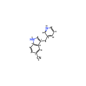 N#Cc1ccc2[nH]cc(Cc3cccnc3)c2c1